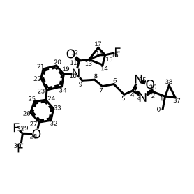 CC1(c2nc(CCCCCN(C(=O)C34CC(F)(C3)C4)c3cccc(-c4ccc(OC(F)F)cc4)c3)no2)CC1